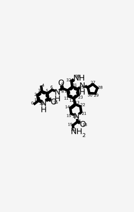 Cc1cc(C)c(CNC(=O)c2cc(C3=CCN(C(=O)CN)CC3)cc(NC3CCCC3)c2C=N)c(=O)[nH]1